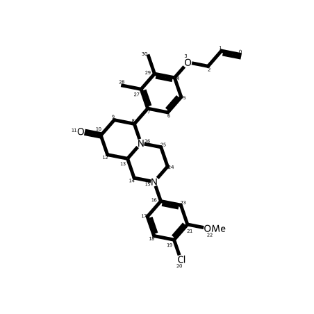 C=CCOc1ccc(C2CC(=O)CC3CN(c4ccc(Cl)c(OC)c4)CCN32)c(C)c1C